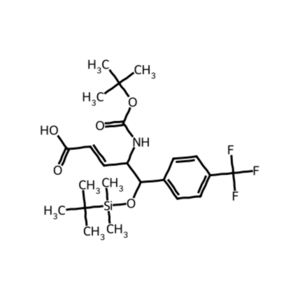 CC(C)(C)OC(=O)NC(C=CC(=O)O)C(O[Si](C)(C)C(C)(C)C)c1ccc(C(F)(F)F)cc1